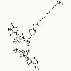 NCCCCCCCCCCC(=O)Oc1ccc(CSP2(=O)OC[C@H]3O[C@@H](n4cnc5c(N)ncnc54)[C@H](F)[C@@H]3OP(=O)(O)OC[C@H]3O[C@@H](n4ccc(=O)[nH]c4=O)C(F)[C@@H]3O2)cc1